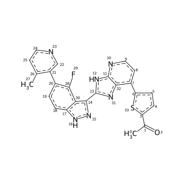 CC(=O)c1ccc(-c2ccnc3[nH]c(-c4n[nH]c5ccc(-c6cnccc6C)c(F)c45)nc23)s1